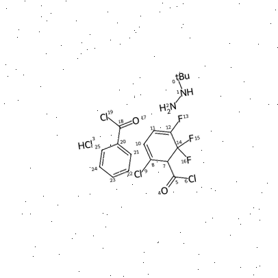 CC(C)(C)NN.Cl.O=C(Cl)C1C(Cl)=CC=C(F)C1(F)F.O=C(Cl)c1ccccc1